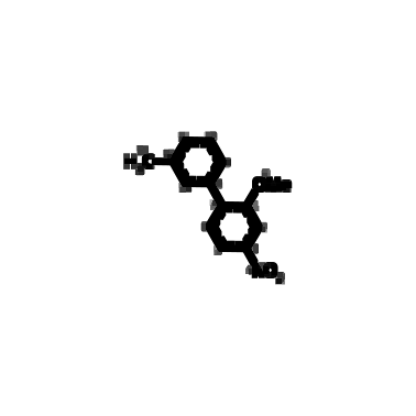 COc1cc([N+](=O)[O-])ccc1-c1cccc(C)c1